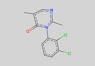 Cc1cnc(C)n(-c2cccc(Cl)c2Cl)c1=O